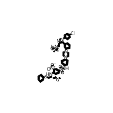 CN(C)CC[C@H](CSc1ccccc1)Nc1ccc(S(=O)(=O)Nc2ccc(N3CCN(c4cccc(-c5c(CNS(C)(=O)=O)ncn5-c5ccc(Cl)cc5)c4)CC3)cc2)cc1[N+](=O)[O-]